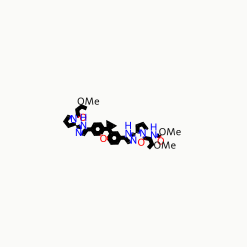 COC(=O)N[C@H](C(=O)N1CCC[C@H]1C1=NCC(c2ccc3c(c2)C2(CC2)c2ccc(-c4cnc([C@@H]5CCCN5C(=O)C[C@H](C)OC)[nH]4)cc2O3)N1)[C@H](C)OC